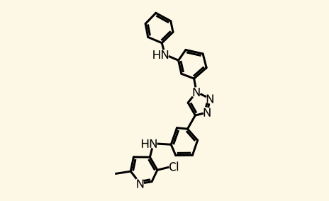 Cc1cc(Nc2cccc(-c3cn(-c4cccc(Nc5ccccc5)c4)nn3)c2)c(Cl)cn1